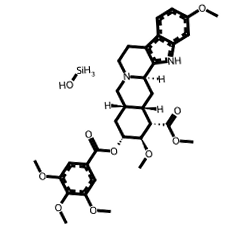 COC(=O)[C@H]1[C@H]2C[C@@H]3c4[nH]c5cc(OC)ccc5c4CCN3C[C@H]2C[C@@H](OC(=O)c2cc(OC)c(OC)c(OC)c2)[C@@H]1OC.O[SiH3]